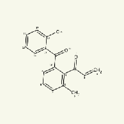 C=CC(=O)c1c(C)cccc1C(=O)c1ccccc1Cl